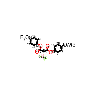 COc1ccc(OC(=O)CC(=O)Oc2ccc(C(F)(F)F)cc2)cc1.F[B]F